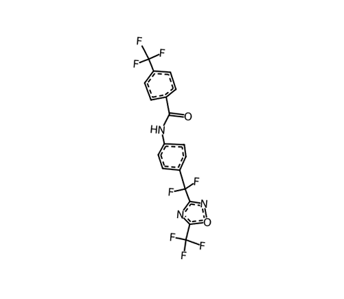 O=C(Nc1ccc(C(F)(F)c2noc(C(F)(F)F)n2)cc1)c1ccc(C(F)(F)F)cc1